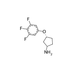 NC1CC[C@@H](Oc2cc(F)c(F)c(F)c2)C1